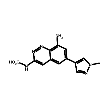 Cn1cc(-c2cc(N)c3nnc(NC(=O)O)cc3c2)cn1